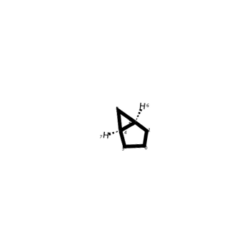 C1C[C@@H]2C[C@@H]2C1